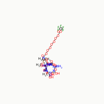 CC[C@H](C)[C@@H]1CCNC(=O)CNC(=O)[C@@H]2CC3c4ccc(OC)c(CSC5CCN(C(=O)CCOCCOCCOCCOCCOCCOCCOCCC(=O)Oc6c(F)c(F)c(F)c(F)c6F)CC5)c4NC3[S+]([O-])C[C@@H](NC(=O)CNC1=O)C(=O)N[C@@H](CC(N)=O)C(=O)N1C[C@H](O)CC1C(=O)N[C@@H]([C@@H](C)[C@@H](O)CO)C(=O)N2